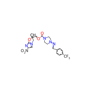 C[C@]1(COC(=O)N2CCN(N=Cc3ccc(C(F)(F)F)cc3)CC2)Cn2cc([N+](=O)[O-])nc2O1